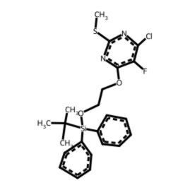 CSc1nc(Cl)c(F)c(OCCO[Si](c2ccccc2)(c2ccccc2)C(C)(C)C)n1